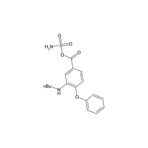 CCCCNc1cc(C(=O)OS(N)(=O)=O)ccc1Oc1ccccc1